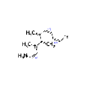 C=C(/C=C\C=C/CC)C(=C)N(C)/C=C\N